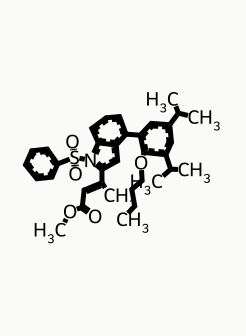 CCCCOc1c(-c2cccc3c2cc(/C(C)=C/C(=O)OC)n3S(=O)(=O)c2ccccc2)cc(C(C)C)cc1C(C)C